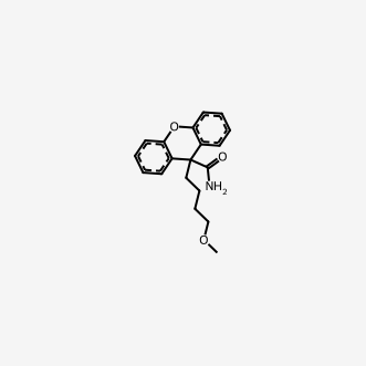 COCCCCC1(C(N)=O)c2ccccc2Oc2ccccc21